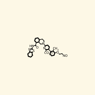 Cc1c(OCCN=O)cccc1-c1ccc(N2CCc3cccc(C(=O)Nc4nc5ccccc5s4)c3C2)nc1C(=O)O